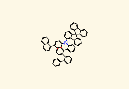 c1ccc(-c2ccccc2-c2ccccc2-c2ccccc2N(c2ccc(-c3cccc4ccccc34)cc2)c2cccc3c2-c2ccccc2C32c3ccccc3-c3ccccc32)cc1